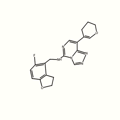 Fc1ccc2c(c1CNc1ncc(C3=COCCC3)c3nncn13)CCO2